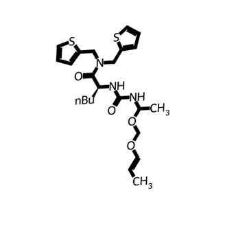 C/C=C/OCOC(C)NC(=O)N[C@@H](CCCC)C(=O)N(Cc1cccs1)Cc1cccs1